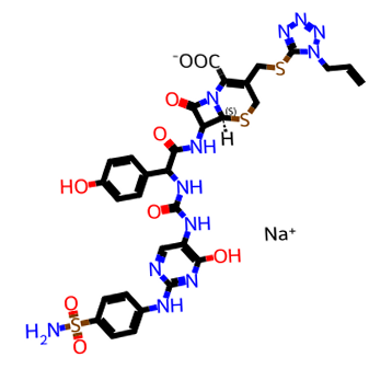 C=CCn1nnnc1SCC1=C(C(=O)[O-])N2C(=O)C(NC(=O)C(NC(=O)Nc3cnc(Nc4ccc(S(N)(=O)=O)cc4)nc3O)c3ccc(O)cc3)[C@@H]2SC1.[Na+]